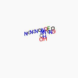 COc1ccccc1-c1nccc(C(=O)Nc2nc3ccc(N4CCC(N5CCC6(CC5)CN(C)C6)CC4)cc3n2C2CCC(O)CC2)c1F